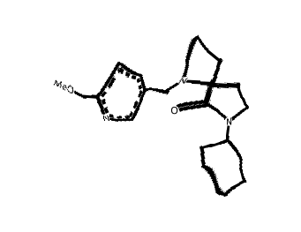 COc1ccc(CN2CCCC23CCN(C2CCCCC2)C3=O)cn1